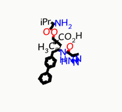 CC(C)C(N)C(=O)OC[C@](C)(C[C@@H](Cc1ccc(-c2ccccc2)cc1)NC(=O)c1cnn[nH]1)C(=O)O